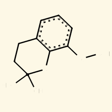 CC1(C)CCc2cccc([Se][SeH])c2S1